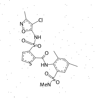 CNS(=O)(=O)c1cc(C)cc(C)c1NC(=O)c1sccc1S(=O)(=O)Nc1onc(C)c1Cl